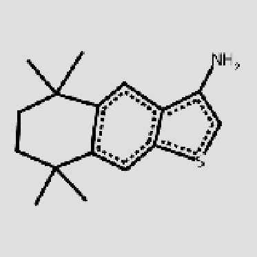 CC1(C)CCC(C)(C)c2cc3c(N)csc3cc21